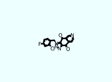 O=C1c2ccncc2C(=O)c2c1nnn2Cc1ccc(F)cc1Cl